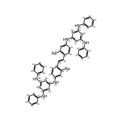 [Na][c]1cc(Nc2nc(Nc3ccccc3)nc(Nc3ccccc3)n2)ccc1C=Cc1ccc(Nc2nc(Nc3ccccc3)nc(Nc3ccccc3)n2)c[c]1[Na]